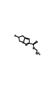 CCOC(=O)c1cc2n(n1)CC(F)C2